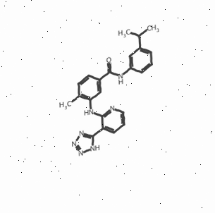 Cc1ccc(C(=O)Nc2cccc(C(C)C)c2)cc1Nc1ncccc1-c1nnn[nH]1